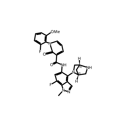 COc1cccc(F)c1-n1cccc(C(=O)Nc2cc(F)c3c(cnn3C)c2N2C[C@H]3C[C@@H]2CN3)c1=O